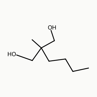 CCCCC(C)(CO)CO